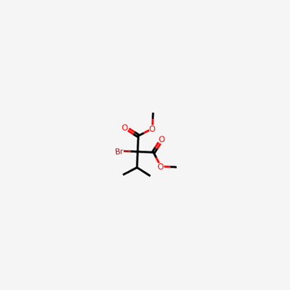 COC(=O)C(Br)(C(=O)OC)C(C)C